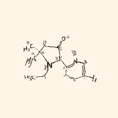 CCN1N(c2ccc(I)cn2)C(=O)CC1(C)C